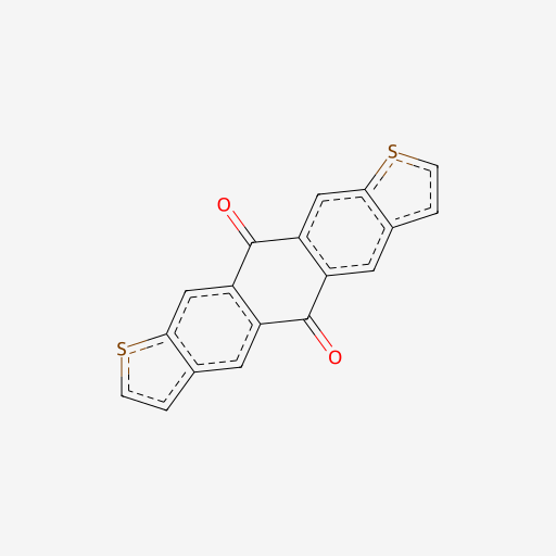 O=C1c2cc3ccsc3cc2C(=O)c2cc3sccc3cc21